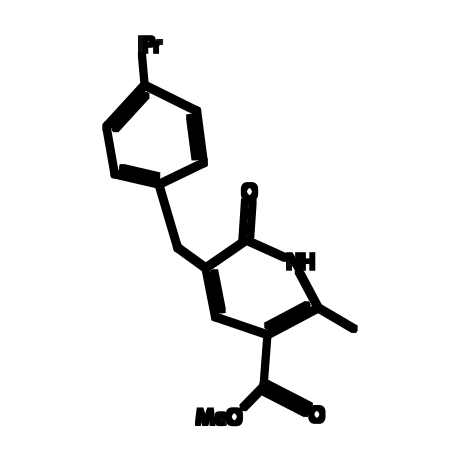 COC(=O)c1cc(Cc2ccc(C(C)C)cc2)c(=O)[nH]c1C